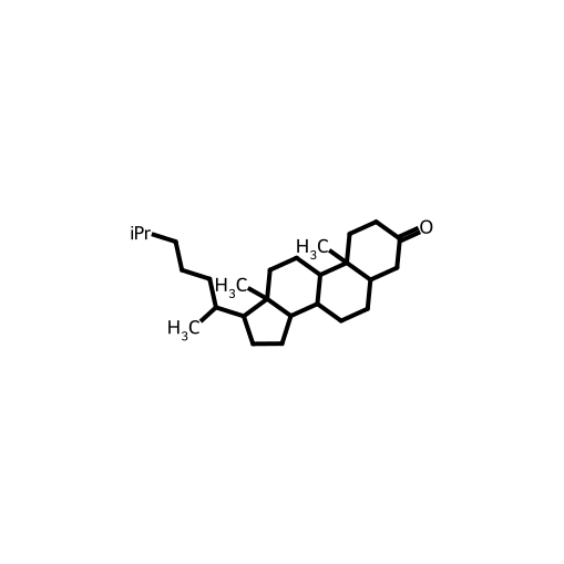 CC(C)CCCC(C)C1CCC2C3CCC4CC(=O)CCC4(C)C3CCC12C